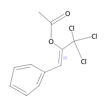 CC(=O)O/C(=C\c1ccccc1)C(Cl)(Cl)Cl